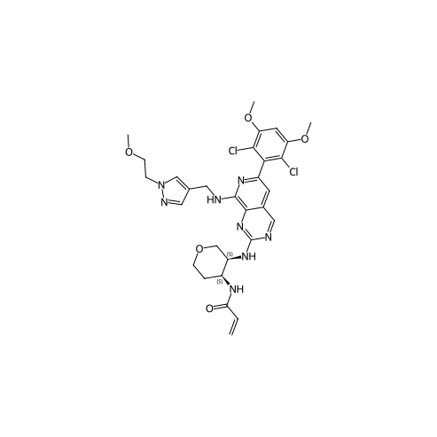 C=CC(=O)N[C@H]1CCOC[C@H]1Nc1ncc2cc(-c3c(Cl)c(OC)cc(OC)c3Cl)nc(NCc3cnn(CCOC)c3)c2n1